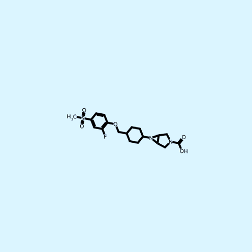 CS(=O)(=O)c1ccc(OCC2CCC(N3C4CN(C(=O)O)CC43)CC2)c(F)c1